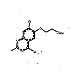 COCCOc1cc2c(N)nc(C)nc2cc1Cl